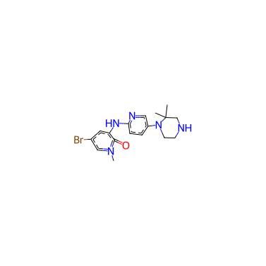 Cn1cc(Br)cc(Nc2ccc(N3CCNCC3(C)C)cn2)c1=O